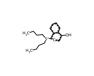 CCCC[S+](CCCC)c1ccc(O)c2ccccc12